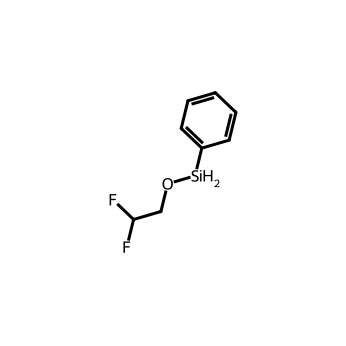 FC(F)CO[SiH2]c1ccccc1